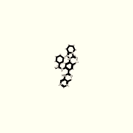 Cc1ncncc1NC(=O)c1cc(F)c(-n2nc3n(c2=O)CCCC3)cc1O[C@@H](C)C1CCCCC1